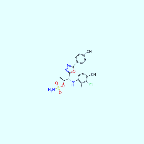 Cc1c(N[C@@H](c2nnc(-c3ccc(C#N)cc3)o2)[C@H](C)OS(N)(=O)=O)ccc(C#N)c1Cl